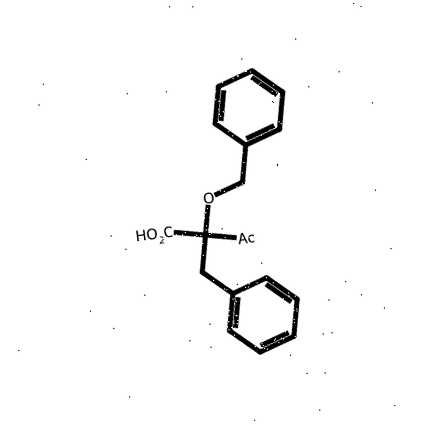 CC(=O)C(Cc1ccccc1)(OCc1ccccc1)C(=O)O